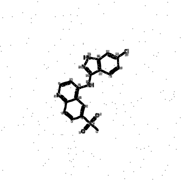 CS(=O)(=O)c1ccc2nccc(Nc3n[nH]c4cc(Cl)ccc34)c2c1